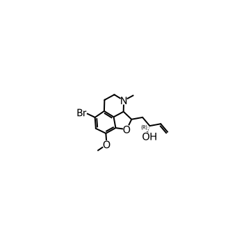 C=C[C@H](O)CC1Oc2c(OC)cc(Br)c3c2C1N(C)CC3